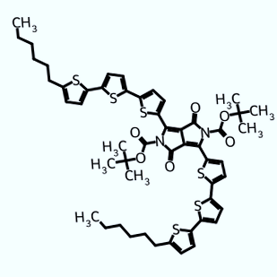 CCCCCCc1ccc(-c2ccc(-c3ccc(C4=C5C(=O)N(C(=O)OC(C)(C)C)C(c6ccc(-c7ccc(-c8ccc(CCCCCC)s8)s7)s6)=C5C(=O)N4C(=O)OC(C)(C)C)s3)s2)s1